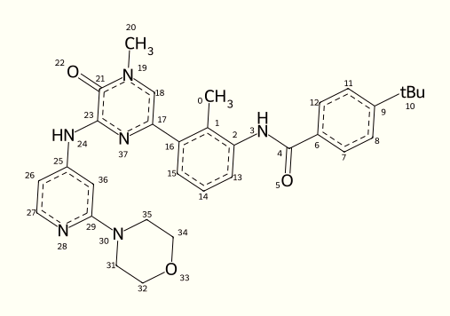 Cc1c(NC(=O)c2ccc(C(C)(C)C)cc2)cccc1-c1cn(C)c(=O)c(Nc2ccnc(N3CCOCC3)c2)n1